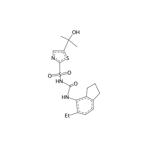 CCc1ccc2c(c1NC(=O)NS(=O)(=O)c1ncc(C(C)(C)O)s1)CCC2